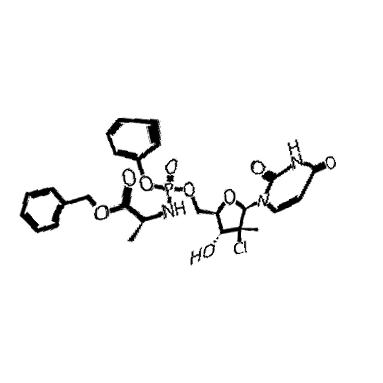 C[C@H](NP(=O)(OC[C@H]1O[C@@H](n2ccc(=O)[nH]c2=O)[C@](C)(Cl)[C@@H]1O)Oc1ccccc1)C(=O)OCc1ccccc1